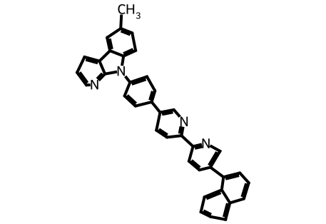 Cc1ccc2c(c1)c1cccnc1n2-c1ccc(-c2ccc(-c3ccc(-c4cccc5ccccc45)cn3)nc2)cc1